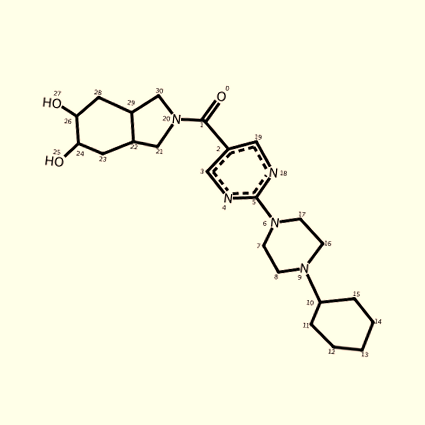 O=C(c1cnc(N2CCN(C3CCCCC3)CC2)nc1)N1CC2CC(O)C(O)CC2C1